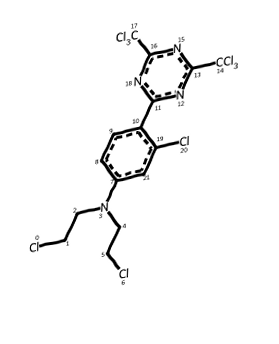 ClCCN(CCCl)c1ccc(-c2nc(C(Cl)(Cl)Cl)nc(C(Cl)(Cl)Cl)n2)c(Cl)c1